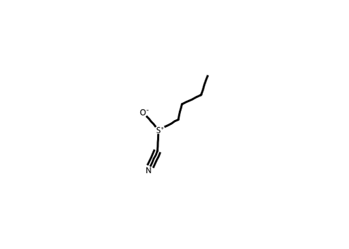 CCCC[S+]([O-])C#N